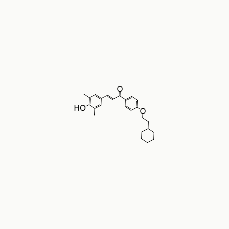 Cc1cc(C=CC(=O)c2ccc(OCCC3CCCCC3)cc2)cc(C)c1O